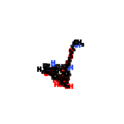 C=CNCCOCCOCCOCCNC(=O)c1ccc(OC2CC(O)C(O)C(CO)O2)c(OSOc2ccc(COC(=O)N(C)C(C(=O)N[C@@H](C)C=O)C(C)C)cc2)c1